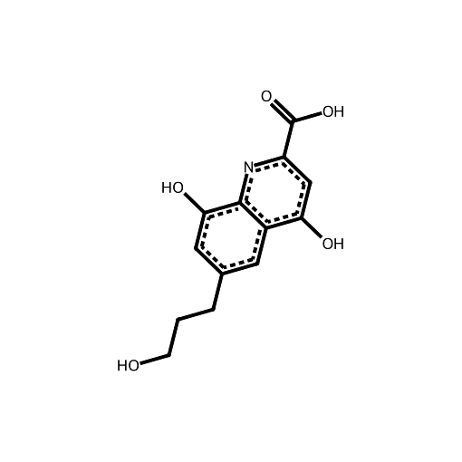 O=C(O)c1cc(O)c2cc(CCCO)cc(O)c2n1